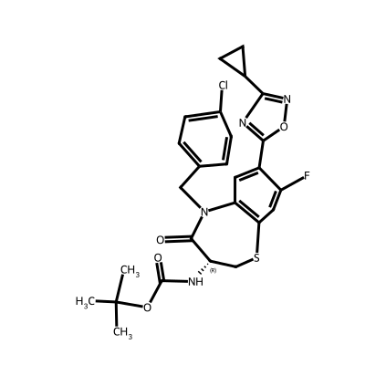 CC(C)(C)OC(=O)N[C@H]1CSc2cc(F)c(-c3nc(C4CC4)no3)cc2N(Cc2ccc(Cl)cc2)C1=O